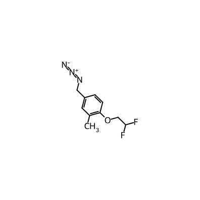 Cc1cc(CN=[N+]=[N-])ccc1OCC(F)F